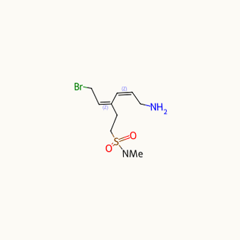 CNS(=O)(=O)CCC(/C=C\CN)=C/CBr